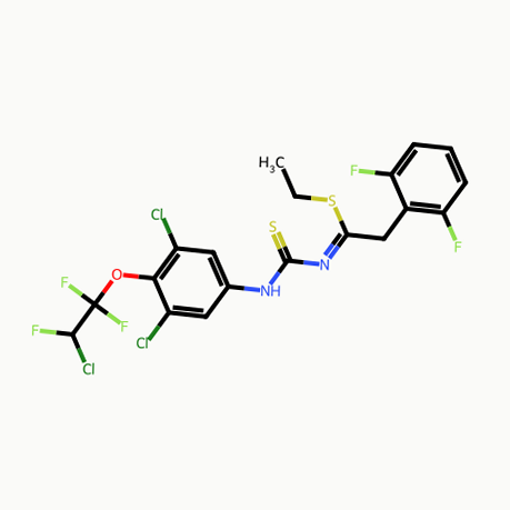 CCSC(Cc1c(F)cccc1F)=NC(=S)Nc1cc(Cl)c(OC(F)(F)C(F)Cl)c(Cl)c1